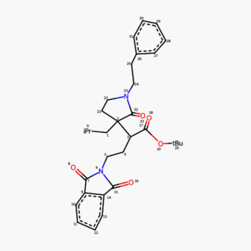 CC(C)CC1(C(CCN2C(=O)c3ccccc3C2=O)C(=O)OC(C)(C)C)CCN(CCc2ccccc2)C1=O